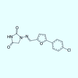 O=C1CN(/N=C/c2ccc(-c3ccc(Cl)cc3)o2)C(=O)N1